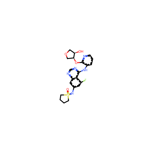 O=S1(=Nc2cc(F)c3c(Nc4cccnc4O[C@H]4COC[C@H]4O)ncnc3c2)CCCC1